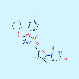 C[C@H](N[P@@](=O)(OC[C@H]1O[C@@H](n2ccc(=O)[nH]c2=O)[C@](C)(F)[C@@H]1O)Oc1ccc(F)cc1)C(=O)OC1CCCCC1